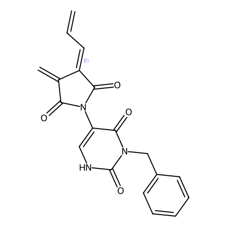 C=C/C=C1\C(=C)C(=O)N(c2c[nH]c(=O)n(Cc3ccccc3)c2=O)C1=O